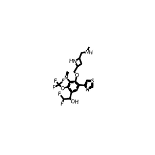 C=Nc1c(OCC2CC(CNC)N2)c(-c2cscn2)cc(C(O)C(F)F)c1OC(F)(F)F